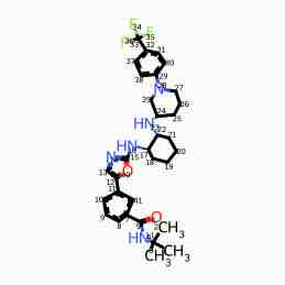 CC(C)(C)NC(=O)c1cccc(-c2cnc(N[C@@H]3CCCC[C@H]3N[C@H]3CCCN(c4ccc(C(F)(F)F)cc4)C3)o2)c1